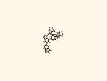 COc1ccc(C(=O)N2C3CCC2CN(c2ccc(-c4cc(-c5ccn(C)c(=O)c5)cn5ncc(C#N)c45)cn2)C3)cn1